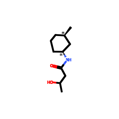 CC(O)CC(=O)N[C@@H]1CCC[C@@H](C)C1